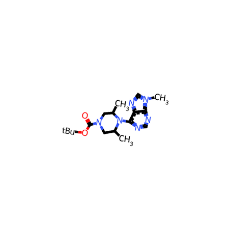 CC1CN(C(=O)OC(C)(C)C)CC(C)N1c1ncnc2c1ncn2C